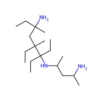 CCC(C)(N)CC(C)(CC)C(CC)(CC)NC(C)CC(C)N